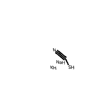 N#CS.[KH].[NaH]